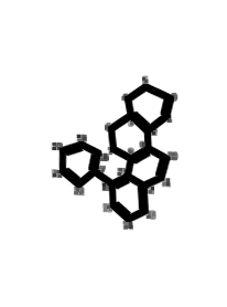 C1=CC2=C(CC1)CCc1c2ccc2cccc(-c3ccccc3)c12